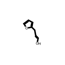 OC=CCc1ccco1